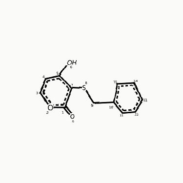 O=c1occc(O)c1SCc1ccccc1